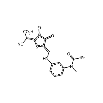 CCn1c(=C(C#N)C(=O)O)sc(=CNc2cccc(N(C)C(=O)C(C)C)c2)c1=O